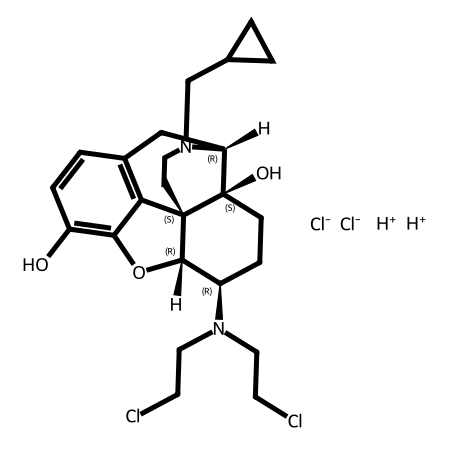 Oc1ccc2c3c1O[C@H]1[C@H](N(CCCl)CCCl)CC[C@@]4(O)[C@@H](C2)N(CC2CC2)CC[C@]314.[Cl-].[Cl-].[H+].[H+]